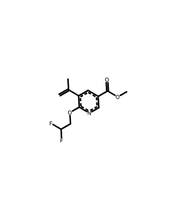 C=C(C)c1cc(C(=O)OC)cnc1OCC(F)F